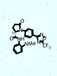 CNc1ccccc1NC(=O)[C@@H]1CCC(=O)N1c1ccc(-c2noc(C(F)(F)F)n2)cc1